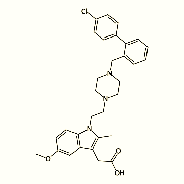 COc1ccc2c(c1)c(CC(=O)O)c(C)n2CCN1CCN(Cc2ccccc2-c2ccc(Cl)cc2)CC1